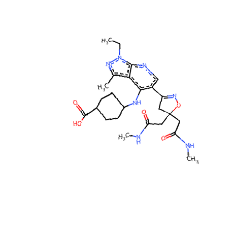 CCn1nc(C)c2c(NC3CCC(C(=O)O)CC3)c(C3=NOC(CC(=O)NC)(CC(=O)NC)C3)cnc21